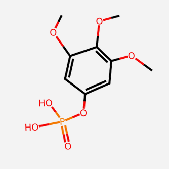 COc1cc(OP(=O)(O)O)cc(OC)c1OC